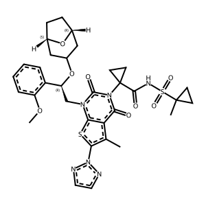 COc1ccccc1[C@H](Cn1c(=O)n(C2(C(=O)NS(=O)(=O)C3(C)CC3)CC2)c(=O)c2c(C)c(-n3nccn3)sc21)OC1C[C@H]2CC[C@@H](C1)O2